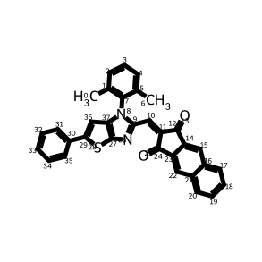 Cc1cccc(C)c1-n1c(C=C2C(=O)c3cc4ccccc4cc3C2=O)nc2sc(-c3ccccc3)cc21